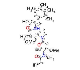 CC[C@H](C)[C@@H]([C@@H](CC(=O)N1CCC[C@H]1C(OC)[C@@H](C)C(=O)N[C@@H](CC1=CC(C)C(C)=C(C)C1C)C(=O)O)OC)N(C)C(=O)CC(C)C